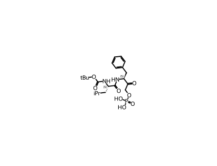 CC(C)C[C@H](NC(=O)OC(C)(C)C)C(=O)N[C@@H](Cc1ccccc1)C(=O)COP(=O)(O)O